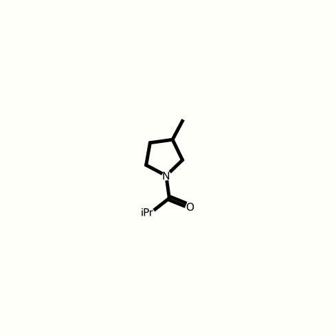 CC1CCN(C(=O)C(C)C)C1